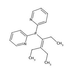 CCC(CC)=C(CC)P(c1ccccn1)c1ccccn1